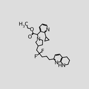 CCOC(=O)C(c1cccnc1C1CC1)N1CCC(CC(F)(F)CCCc2ccc3c(n2)NCCC3)C1